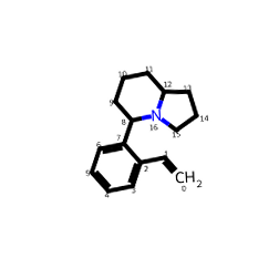 C=Cc1ccccc1C1CCCC2CCCN21